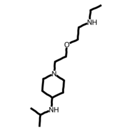 CCNCCOCCN1CCC(NC(C)C)CC1